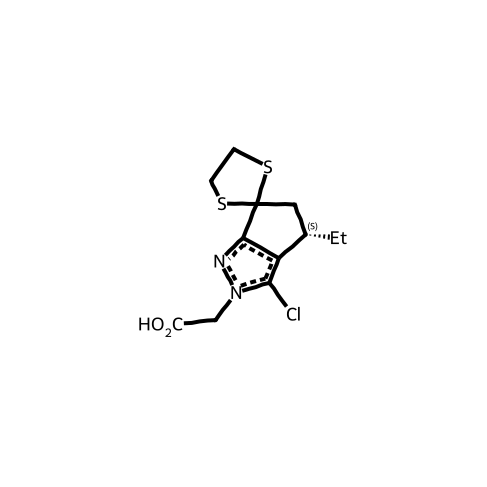 CC[C@H]1CC2(SCCS2)c2nn(CC(=O)O)c(Cl)c21